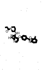 CCC(=O)N1CCC[C@@H](Nc2n[nH]c3nccc(Oc4ccc(-c5nc6cccc(C)c6o5)cc4)c23)C1